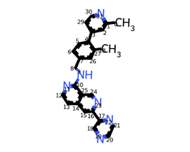 Cc1cc(-c2ccc(CNc3nccc4cc(-c5cnccn5)ncc34)cc2C)ccn1